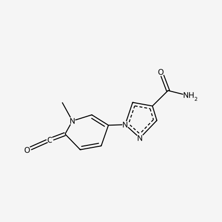 CN1C=C(n2cc(C(N)=O)cn2)C=CC1=C=O